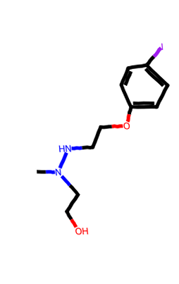 CN(CCO)NCCOc1ccc(I)cc1